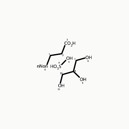 CCCCCCCCCCCC(=O)O.O=S(=O)(O)O.OCC(O)CO